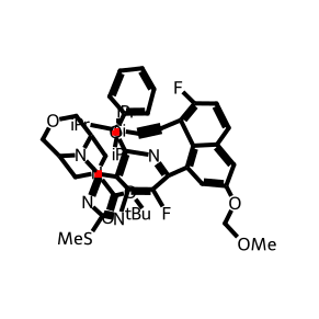 COCOc1cc(-c2nc(Oc3ccccc3)c3c(N4C5COCC4CN(C(=O)OC(C)(C)C)C5)nc(SC)nc3c2F)c2c(C#C[Si](C(C)C)(C(C)C)C(C)C)c(F)ccc2c1